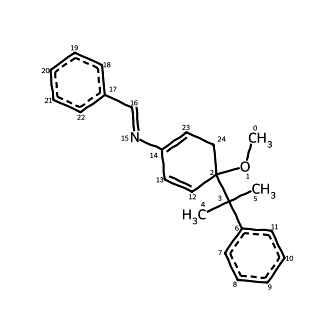 COC1(C(C)(C)c2ccccc2)C=CC(N=Cc2ccccc2)=CC1